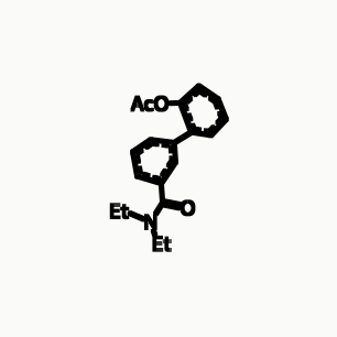 CCN(CC)C(=O)c1cccc(-c2ccccc2OC(C)=O)c1